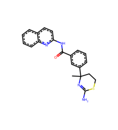 CC1(c2cccc(C(=O)Nc3ccc4ccccc4n3)c2)CCSC(N)=N1